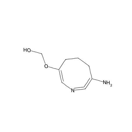 NC1=C=N/C=C(/OCO)CCC1